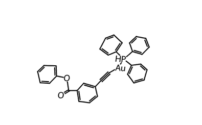 O=C(Oc1ccccc1)c1cccc(C#[C][Au][PH](c2ccccc2)(c2ccccc2)c2ccccc2)c1